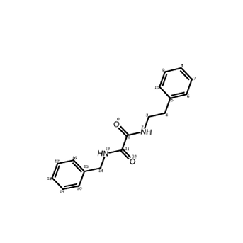 O=C(NCCc1ccccc1)C(=O)NCc1ccccc1